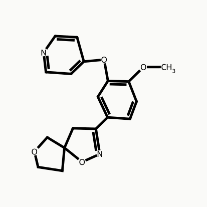 COc1ccc(C2=NOC3(CCOC3)C2)cc1Oc1ccncc1